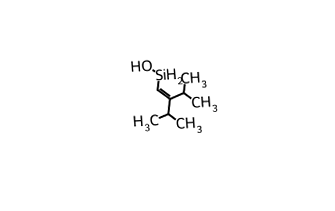 CC(C)C(=C[SiH2]O)C(C)C